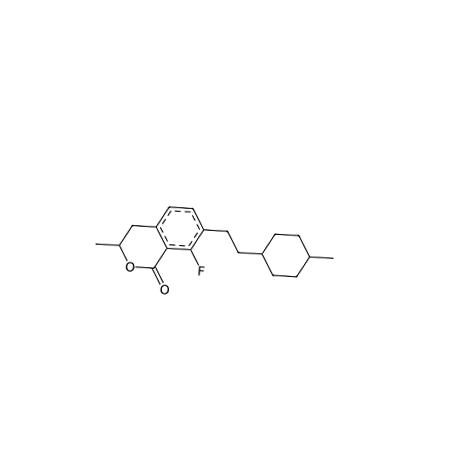 CC1CCC(CCc2ccc3c(c2F)C(=O)OC(C)C3)CC1